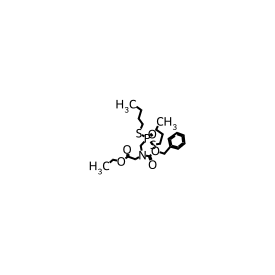 CCCCSP(=O)(CN(CC(=O)OCC)C(=O)OCc1ccccc1)SCCCC